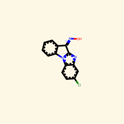 O/N=C1/c2ccccc2-n2c1nc1cc(Cl)ccc12